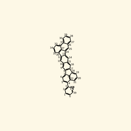 c1ccc(-c2ccc3c4cc5cc6c(cc5cc4c4cccc2c34)c2cc3ccccc3c3cccc6c32)nc1